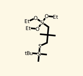 CCO[Si](CC(C)(C)CS[Si](C)(C)C(C)(C)C)(OCC)OCC